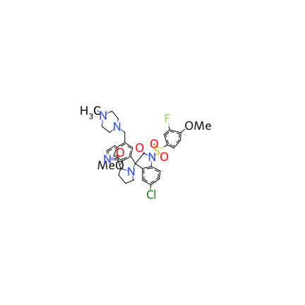 COc1ccc(S(=O)(=O)N2C(=O)C(c3cc(CN4CCN(C)CC4)ccc3OC)(N3CCCC3c3ncco3)c3cc(Cl)ccc32)cc1F